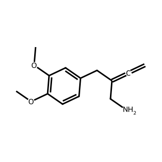 C=C=C(CN)Cc1ccc(OC)c(OC)c1